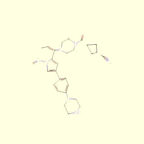 C=Nn1cc(-c2ccc(N3CCNCC3)cc2)cc1/C(=C\C)N1CCN(C(=O)[C@H]2C[C@H](C#N)C2)CC1